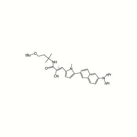 CCCN(CCC)c1ccc2cc(-c3ccc(/C=C(\C#N)C(=O)NC(C)(C)CCOC(C)(C)C)n3C)ccc2c1